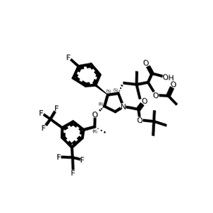 CC(=O)OC(C(=O)O)C(C)(C)C[C@H]1[C@H](c2ccc(F)cc2)[C@@H](O[C@H](C)c2cc(C(F)(F)F)cc(C(F)(F)F)c2)CN1C(=O)OC(C)(C)C